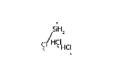 Cl.Cl.[SiH3]Cl